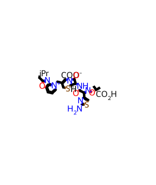 CC(C)Cc1nc2c(ccc[n+]2CC2=C(C(=O)[O-])N3C(=O)C(NC(=O)C(=NOC(C)(C)C(=O)O)c4csc(N)n4)[C@@H]3SC2)o1